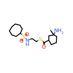 CC1(N)CCCC(C(=O)SCCNS(=O)(=O)C2CCCCCCC2)C1